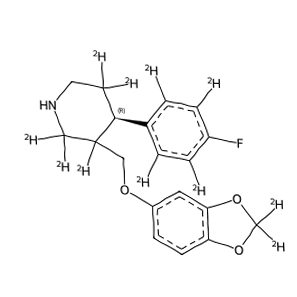 [2H]c1c([2H])c([C@@H]2C([2H])([2H])CNC([2H])([2H])C2([2H])COc2ccc3c(c2)OC([2H])([2H])O3)c([2H])c([2H])c1F